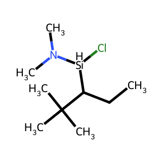 CCC([SiH](Cl)N(C)C)C(C)(C)C